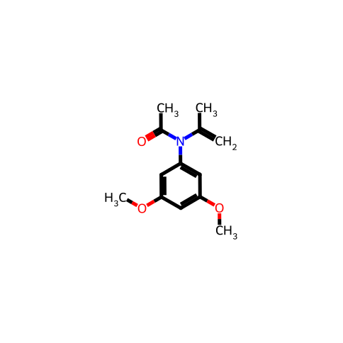 C=C(C)N(C(C)=O)c1cc(OC)cc(OC)c1